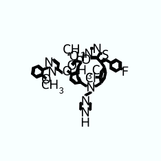 CCOC(=O)[C@H]1Cc2cc(ccc2OCc2ccnc(-c3ccccc3OC)n2)CN(CCN2CCNCC2)Cc2ccc(c(C)c2Cl)-c2c(-c3ccc(F)cc3)sc3ncnc(c23)O1